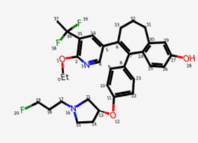 CCOc1ncc(C2=C(c3ccc(O[C@H]4CCN(CCCF)C4)cc3)c3ccc(O)cc3CCC2)cc1C(C)(F)F